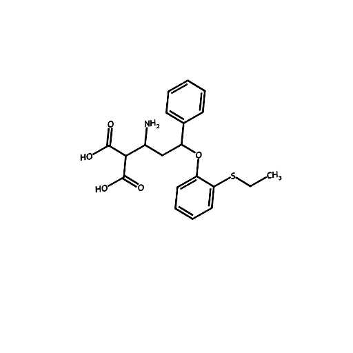 CCSc1ccccc1OC(CC(N)C(C(=O)O)C(=O)O)c1ccccc1